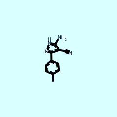 Cc1ccc(-c2n[nH]c(N)c2C#N)cc1